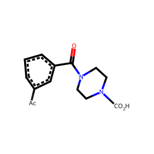 CC(=O)c1cccc(C(=O)N2CCN(C(=O)O)CC2)c1